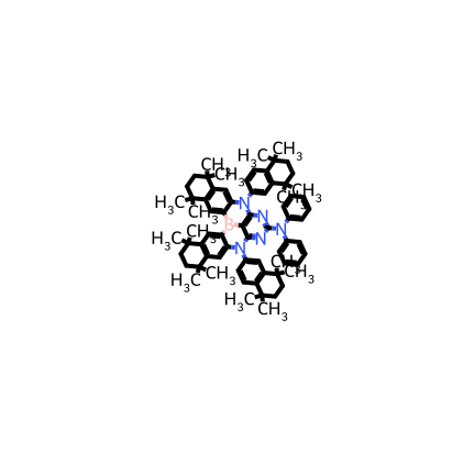 CC1(C)CCC(C)(C)c2cc(N3c4cc5c(cc4B4c6cc7c(cc6N(c6ccc8c(c6)C(C)(C)CCC8(C)C)c6nc(N(c8ccccc8)c8ccccc8)nc3c64)C(C)(C)CCC7(C)C)C(C)(C)CCC5(C)C)ccc21